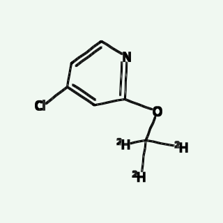 [2H]C([2H])([2H])Oc1cc(Cl)ccn1